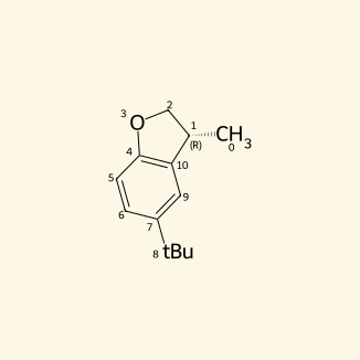 C[C@H]1COc2ccc(C(C)(C)C)cc21